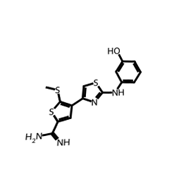 CSc1sc(C(=N)N)cc1-c1csc(Nc2cccc(O)c2)n1